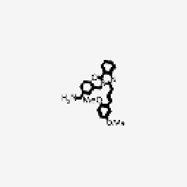 COc1ccc(OC)c(C=CCc2nc3ccccc3c(=O)n2CC2CCCC(CN)C2)c1